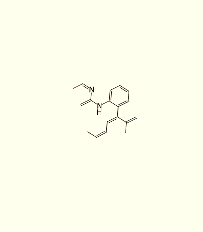 C=C(/N=C\C)Nc1ccccc1C(=C/C=C\C)C(=C)C